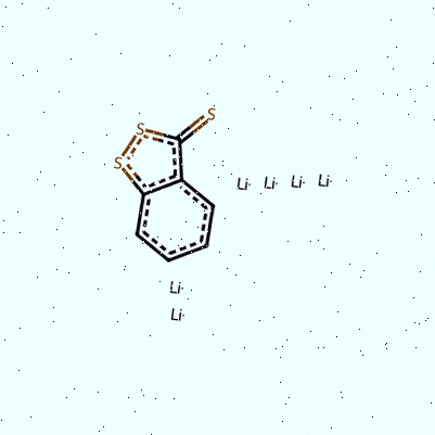 S=c1ssc2ccccc12.[Li].[Li].[Li].[Li].[Li].[Li]